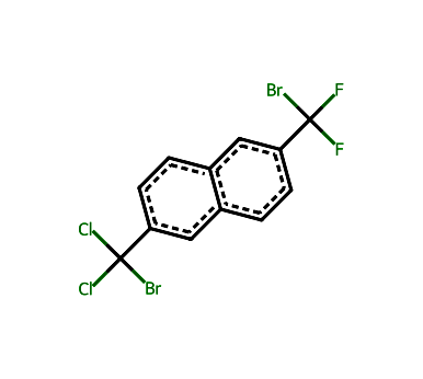 FC(F)(Br)c1ccc2cc(C(Cl)(Cl)Br)ccc2c1